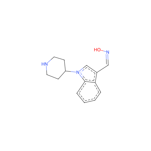 O/N=C\c1cn(C2CCNCC2)c2ccccc12